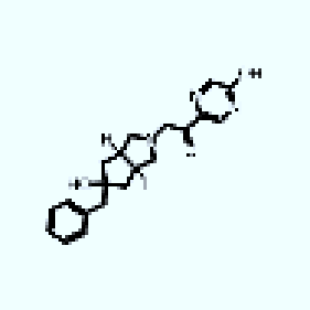 O=C(CN1C[C@@H]2CC(O)(Cc3ccccc3)C[C@@H]2C1)c1cnc(O)cn1